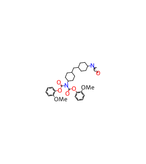 COc1ccccc1OC(=O)N(C(=O)Oc1ccccc1OC)C1CCC(CC2CCC(N=C=O)CC2)CC1